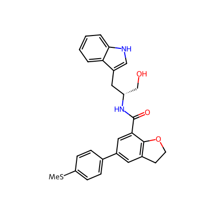 CSc1ccc(-c2cc3c(c(C(=O)N[C@@H](CO)Cc4c[nH]c5ccccc45)c2)OCC3)cc1